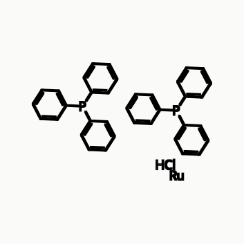 Cl.[Ru].c1ccc(P(c2ccccc2)c2ccccc2)cc1.c1ccc(P(c2ccccc2)c2ccccc2)cc1